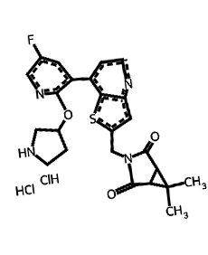 CC1(C)C2C(=O)N(Cc3cc4nccc(-c5cc(F)cnc5OC5CCNC5)c4s3)C(=O)C21.Cl.Cl